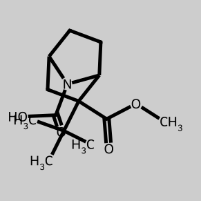 COC(=O)C1(C(C)(C)C)CC2CCC1N2C(=O)O